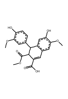 COC(=O)C1C(C(=O)O)=Cc2cc(OC)c(O)cc2C1c1ccc(O)c(OC)c1